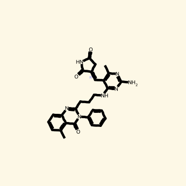 Cc1nc(N)nc(NCCCc2nc3cccc(C)c3c(=O)n2-c2ccccc2)c1/C=C1\CC(=O)NC1=O